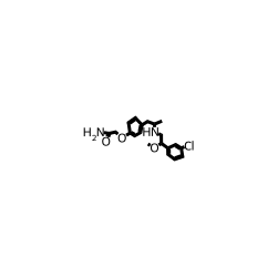 COC(CNC(C)Cc1ccc(OCC(N)=O)cc1)c1cccc(Cl)c1